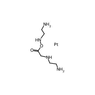 NCCNCC(=O)ONCCN.[Pt]